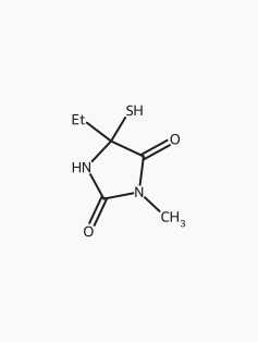 CCC1(S)NC(=O)N(C)C1=O